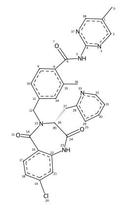 Cc1cnc(NC(=O)c2ccc(CN3C(=O)c4ccc(Cl)cc4NC(=O)[C@H]3Cc3ccccn3)cc2C)nc1